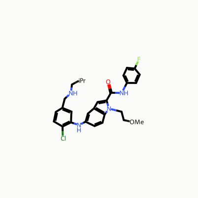 COCCn1c(C(=O)Nc2ccc(F)cc2)cc2cc(Nc3cc(CNCC(C)C)ccc3Cl)ccc21